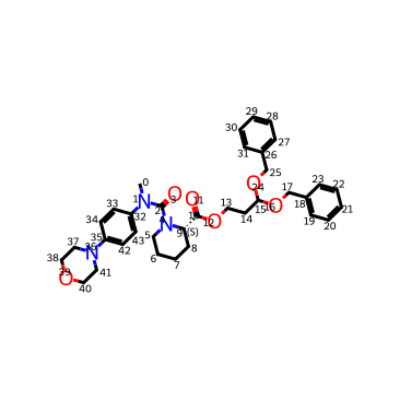 CN(C(=O)N1CCCC[C@H]1C(=O)OCCC(OCc1ccccc1)OCc1ccccc1)c1ccc(N2CCOCC2)cc1